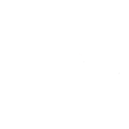 CC/C=C(\C)C(=O)OC(C)/C=C(\C)CCC=C(C)C